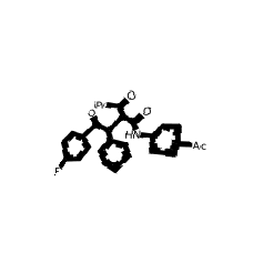 CC(=O)c1ccc(NC(=O)C(C(=O)C(C)C)C(C(=O)c2ccc(F)cc2)c2ccccc2)cc1